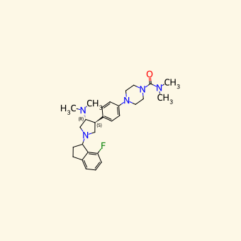 CN(C)C(=O)N1CCN(c2ccc([C@H]3CN(C4CCc5cccc(F)c54)C[C@@H]3N(C)C)cc2)CC1